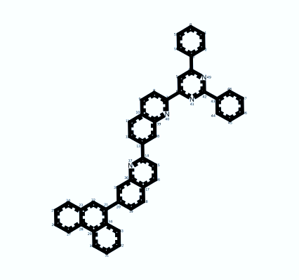 c1ccc(-c2cc(-c3ccc4ccc(-c5ccc6ccc(-c7cc8ccccc8c8ccccc78)cc6n5)cc4n3)nc(-c3ccccc3)n2)cc1